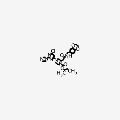 CCC(C)OC(=O)N1CCN(c2cc(Cl)nc(-n3ccnc3)n2)CC1CC(=O)NCc1ccc2c(c1)OCCO2